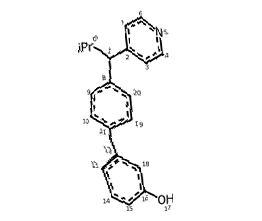 CC(C)C(c1ccncc1)c1ccc(-c2cccc(O)c2)cc1